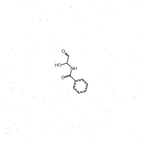 O=CC(O)NC(=O)c1ccccc1